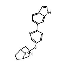 CN1C2CCC1CC(Oc1ccc(-c3ccc4cc[nH]c4c3)nc1)C2